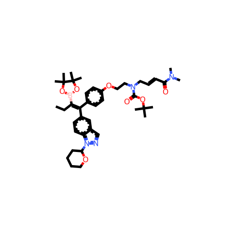 CC/C(B1OC(C)(C)C(C)(C)O1)=C(/c1ccc(OCCN(C/C=C/C(=O)N(C)C)C(=O)OC(C)(C)C)cc1)c1ccc2c(cnn2C2CCCCO2)c1